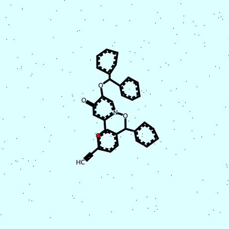 C#CCOCc1cc(=O)c(OC(c2ccccc2)c2ccccc2)cn1OC(c1ccccc1)c1ccccc1